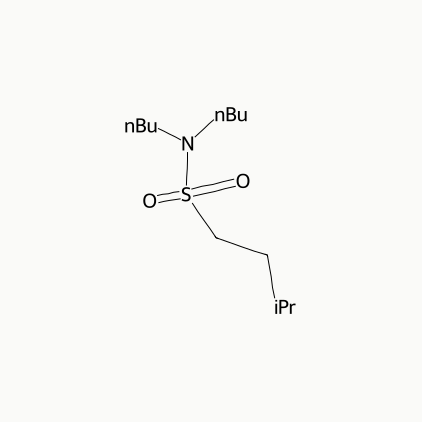 CCCCN(CCCC)S(=O)(=O)CCC(C)C